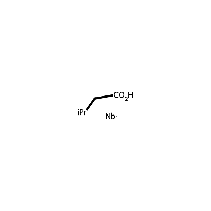 CC(C)CC(=O)O.[Nb]